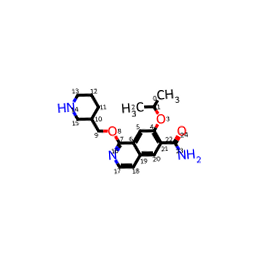 CC(C)Oc1cc2c(OCC3CCCNC3)nccc2cc1C(N)=O